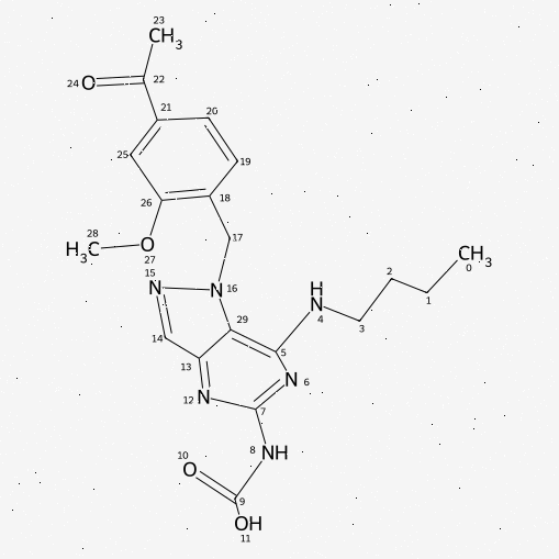 CCCCNc1nc(NC(=O)O)nc2cnn(Cc3ccc(C(C)=O)cc3OC)c12